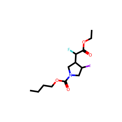 CCCCOC(=O)N1CC(I)C(C(F)C(=O)OCC)C1